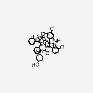 CC(C)(C)C[C@H]1N([C@H](c2ccccc2)[C@@H](O)c2ccccc2)[C@@H](C(=O)N[C@H]2CC[C@H](O)CC2)[C@H](c2cccc(Cl)c2F)[C@@]12C(=O)Nc1cc(Cl)ccc12